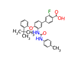 Cc1ccc(NC(=O)Nc2cc(-c3ccc(C(=O)O)c(F)c3)ccc2Oc2ccccc2C(C)(C)C)cc1